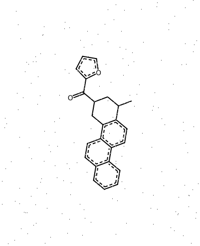 CC1CC(C(=O)c2ccco2)Cc2c1ccc1c2ccc2ccccc21